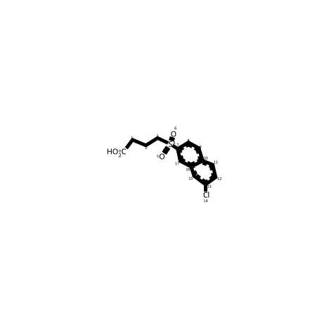 O=C(O)CCCS(=O)(=O)c1ccc2ccc(Cl)cc2c1